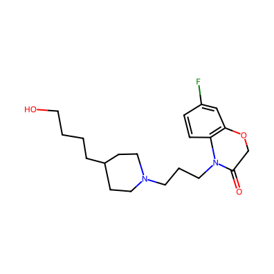 O=C1COc2cc(F)ccc2N1CCCN1CCC(CCCCO)CC1